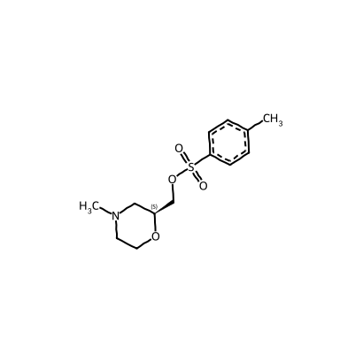 Cc1ccc(S(=O)(=O)OC[C@@H]2CN(C)CCO2)cc1